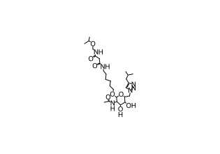 CC(=O)NC1C(OCCCCCCNC(=O)CC(=O)NCOC(C)C)OC(Cn2cc(CC(C)C)nn2)C(O)C1O